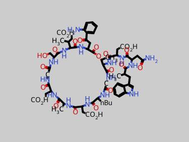 CCCCC1NC(=O)CNC(=O)C(NC(=O)C(CC(=O)O)NC(=O)C(CC(N)=O)NC(=O)C(C)Cc2c[nH]c3ccccc23)C(C)OC(=O)C(CC(=O)c2ccccc2N)NC(=O)C(C(C)CC(=O)O)NC(=O)C(CO)NC(=O)CNC(=O)C(CC(=O)O)NC(=O)C(C)NC(=O)C(CC(=O)O)NC1=O